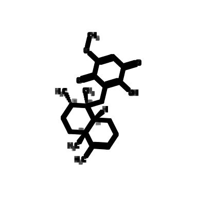 COC1=CC(=O)C(O)=C(C[C@]2(C)[C@@H](C)CC[C@@]3(C)C(C)=CCC[C@@H]23)C1=O